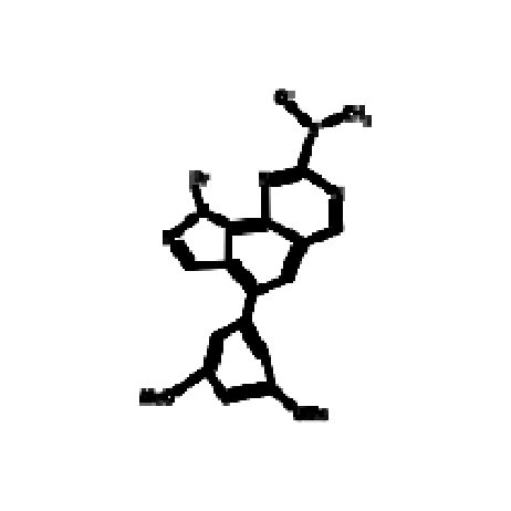 COc1cc(OC)cc(-c2cc3cnc([S+](C)[O-])nc3c3c2cnn3C(C)C)c1